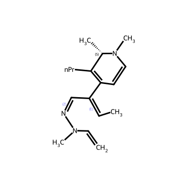 C=CN(C)/N=C\C(=C\C)C1=C(CCC)[C@H](C)N(C)C=C1